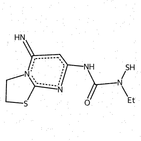 CCN(S)C(=O)Nc1cc(=N)n2c(n1)SCC2